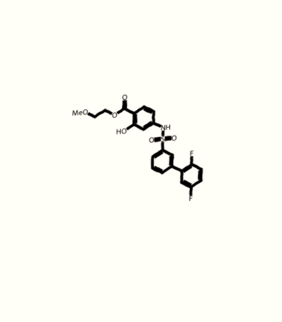 COCCOC(=O)c1ccc(NS(=O)(=O)c2cccc(-c3cc(F)ccc3F)c2)cc1O